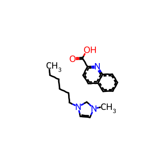 CCCCCCN1C=CN(C)C1.O=C(O)c1ccc2ccccc2n1